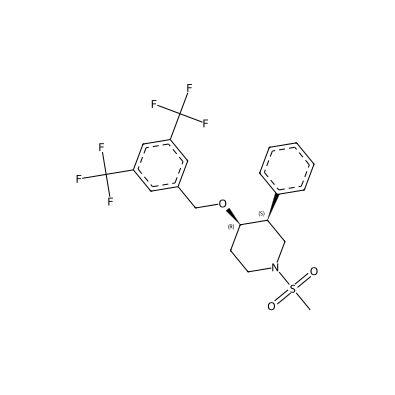 CS(=O)(=O)N1CC[C@@H](OCc2cc(C(F)(F)F)cc(C(F)(F)F)c2)[C@@H](c2ccccc2)C1